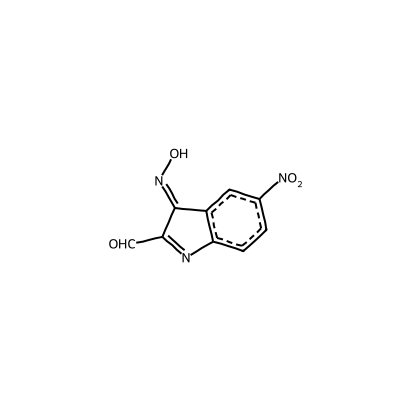 O=CC1=Nc2ccc([N+](=O)[O-])cc2C1=NO